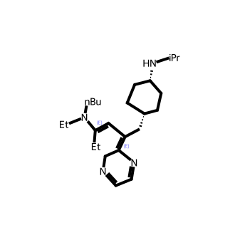 CCCCN(CC)/C(=C/C(C[C@H]1CC[C@@H](NC(C)C)CC1)=C1\CN=CC=N1)CC